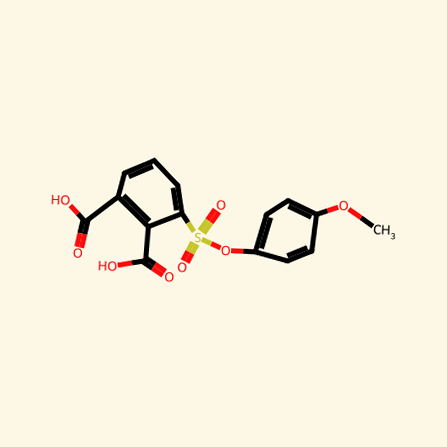 COc1ccc(OS(=O)(=O)c2cccc(C(=O)O)c2C(=O)O)cc1